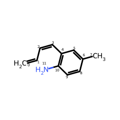 C=C/C=C\c1cc(C)ccc1N